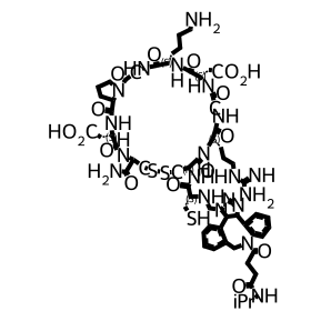 CC(C)NC(=O)CCC(=O)N1Cc2ccccc2C2C(N=NN2CN[C@H](CS)C(=O)N[C@H]2CSSCC(C(N)=O)NC(=O)[C@H](CC(=O)O)NC(=O)C3CCCN3C(=O)CNC(=O)[C@H](CCCCN)NC(=O)[C@H](CC(=O)O)NC(=O)CNC(=O)[C@H](CCCNC(=N)N)NC2=O)c2ccccc21